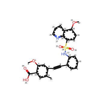 COc1cc(C#Cc2ccccc2NS(=O)(=O)c2ccc(OC)c3cccnc23)c(C)cc1C(=O)O